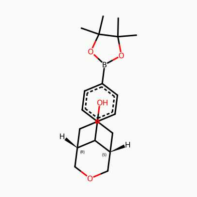 CC1(C)OB(c2ccc(C3[C@@H]4COC[C@H]3CC(O)C4)cc2)OC1(C)C